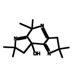 CC1(C)CC2=NC(C)(C)C3=NC(C)(C)CC3(O)C2=N1